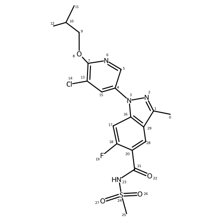 Cc1nn(-c2cnc(OCC(C)C)c(Cl)c2)c2cc(F)c(C(=O)NS(C)(=O)=O)cc12